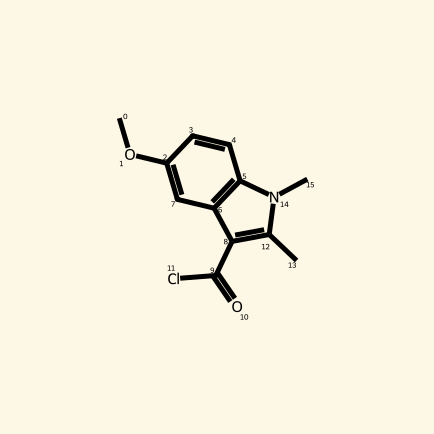 COc1ccc2c(c1)c(C(=O)Cl)c(C)n2C